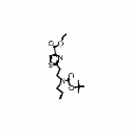 CCCN(CCc1nc(C(=O)OCC)cs1)C(=O)OC(C)(C)C